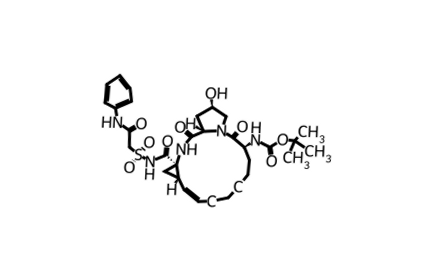 CC(C)(C)OC(=O)N[C@H]1CCCCC/C=C\[C@@H]2C[C@@]2(C(=O)NS(=O)(=O)CC(=O)Nc2ccccc2)NC(=O)[C@@H]2C[C@@H](O)CN2C1=O